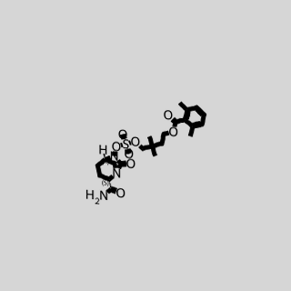 Cc1cccc(C)c1C(=O)OCCC(C)(C)COS(=O)(=O)ON1C(=O)N2C[C@H]1CC[C@H]2C(N)=O